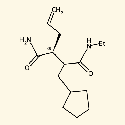 C=CC[C@H](C(N)=O)C(CC1CCCC1)C(=O)NCC